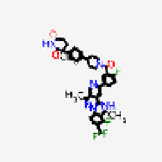 Cc1nnc(N[C@H](C)c2cccc(C(F)F)c2F)c2cc(-c3ccc(F)c(C(=O)N4CCC(c5ccc([C@@]6(C)CCC(=O)NC6=O)cc5)CC4)c3)ncc12